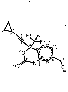 CC(F)(F)[C@@]1(C#CC2CC2)OC(=O)Nc2cc(CCl)ccc21